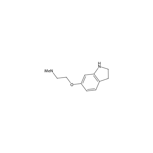 CNCCOc1ccc2c(c1)NCC2